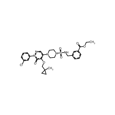 CCOC(=O)c1cccc(CNS(=O)(=O)N2CCN(c3cnn(-c4cccc(Cl)c4)c(=O)c3OCC3(C)CC3)CC2)c1